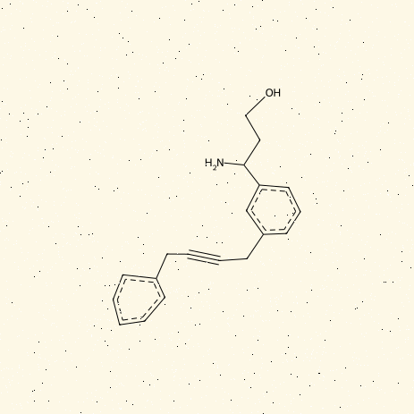 NC(CCO)c1cccc(CC#CCc2ccccc2)c1